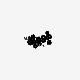 COc1ccccc1-c1c2c(c(-c3ccccc3OC)c3cc4ccccc4cc13)-c1ccc3c4ccc5c6c(ccc(c7ccc-2c1c73)c46)c1c(-c2ccccc2)c2cccc3c4ccccc4c(c23)c51